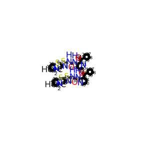 O=C(Nc1nc(C(=O)O)c(Sc2ccccn2)s1)Nc1cccnc1C(=O)C1CCCC1.O=C(Nc1nc(C(=O)O)c(Sc2ccccn2)s1)Nc1ncccc1C(=O)C1CCCC1